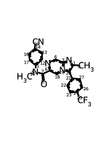 Cc1nc2cnc(C(=O)N(C)c3ccc(C#N)cc3)cn2c1-c1ccc(C(F)(F)F)cc1